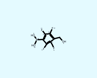 OCc1c(F)c(F)c(B(O)O)c(F)c1F